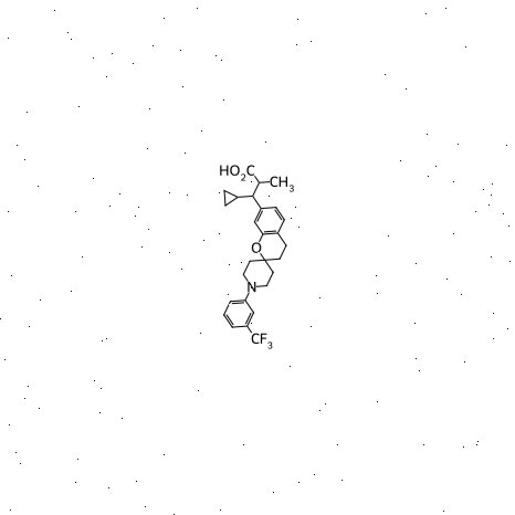 CC(C(=O)O)C(c1ccc2c(c1)OC1(CC2)CCN(c2cccc(C(F)(F)F)c2)CC1)C1CC1